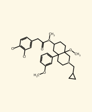 COc1cccc(C23CCN(CC4CC4)CC2(OC)CCC(N(C)C(=O)Cc2ccc(Cl)c(Cl)c2)C3)c1